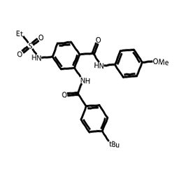 CCS(=O)(=O)Nc1ccc(C(=O)Nc2ccc(OC)cc2)c(NC(=O)c2ccc(C(C)(C)C)cc2)c1